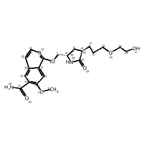 COc1cc2c(OC[C@@H]3C[C@@H](CCCOCCO)C(=O)N3)nccc2cc1C(N)=O